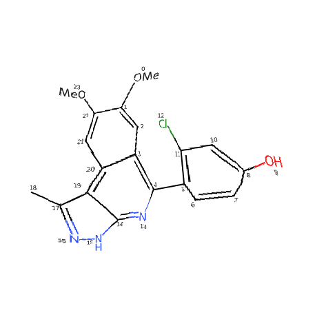 COc1cc2c(-c3ccc(O)cc3Cl)nc3[nH]nc(C)c3c2cc1OC